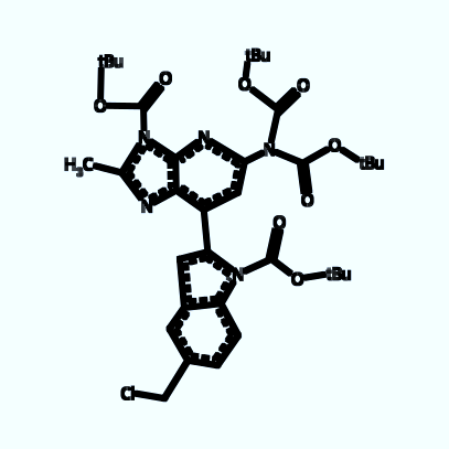 Cc1nc2c(-c3cc4cc(CCl)ccc4n3C(=O)OC(C)(C)C)cc(N(C(=O)OC(C)(C)C)C(=O)OC(C)(C)C)nc2n1C(=O)OC(C)(C)C